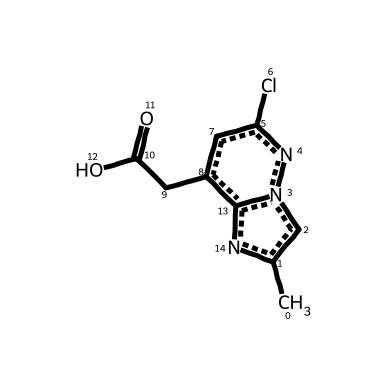 Cc1cn2nc(Cl)cc(CC(=O)O)c2n1